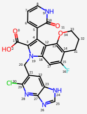 O=C(O)c1c(-c2ccc[nH]c2=O)c2c3c(c(F)cc2n1Cc1cc2[nH]cnc2nc1Cl)CCCO3